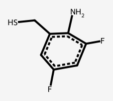 Nc1c(F)cc(F)cc1CS